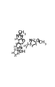 COc1ccc([C@H]2C[C@@H]2COc2nc(C)ncc2-c2ccc(C3(O)CCCC3)nc2)nc1